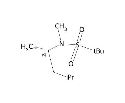 CC(C)C[C@H](C)N(C)S(=O)(=O)C(C)(C)C